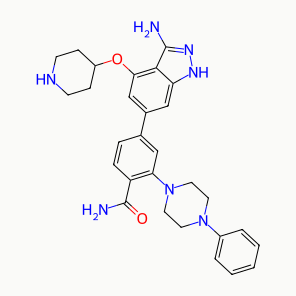 NC(=O)c1ccc(-c2cc(OC3CCNCC3)c3c(N)n[nH]c3c2)cc1N1CCN(c2ccccc2)CC1